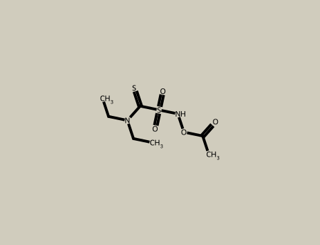 CCN(CC)C(=S)S(=O)(=O)NOC(C)=O